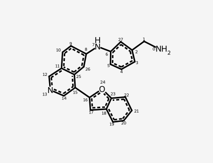 NCc1cccc(Nc2ccc3cncc(-c4cc5ccccc5o4)c3c2)c1